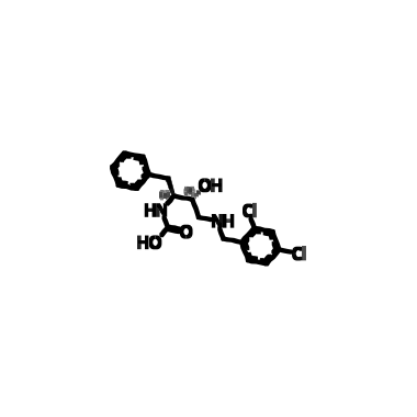 O=C(O)N[C@@H](Cc1ccccc1)[C@H](O)CNCc1ccc(Cl)cc1Cl